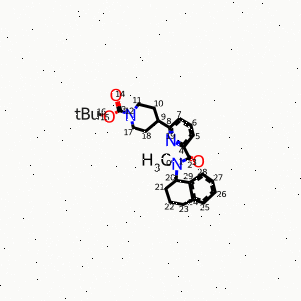 CN(C(=O)c1cccc(C2CCN(C(=O)OC(C)(C)C)CC2)n1)C1CCCc2ccccc21